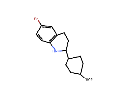 CNC1CCC(C2CCc3cc(Br)ccc3N2)CC1